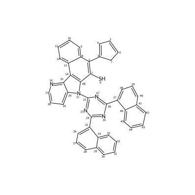 Sc1c(C2=CC=CC2)c2ccccc2c2c3ncccc3n(-c3nc(-c4cccc5ccccc45)nc(-c4cccc5ccccc45)n3)c12